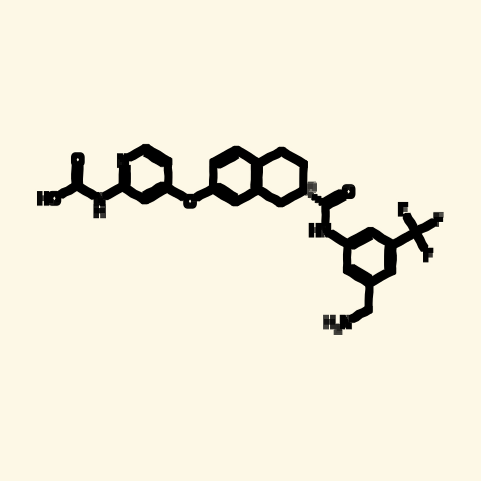 NCc1cc(NC(=O)[C@H]2CCc3ccc(Oc4ccnc(NC(=O)O)c4)cc3C2)cc(C(F)(F)F)c1